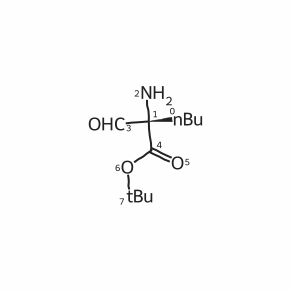 CCCC[C@](N)(C=O)C(=O)OC(C)(C)C